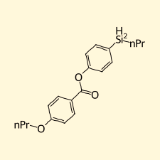 CCCOc1ccc(C(=O)Oc2ccc([SiH2]CCC)cc2)cc1